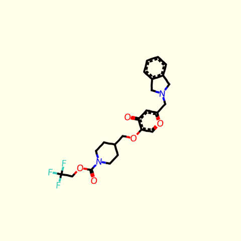 O=C(OCC(F)(F)F)N1CCC(COc2coc(CN3Cc4ccccc4C3)cc2=O)CC1